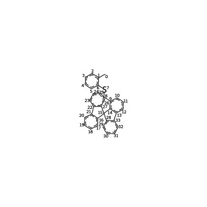 Cc1ccccc1SCc1cccc2c1C1(c3ccccc3-c3ccccc31)c1ccccc1-2